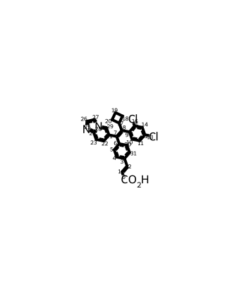 O=C(O)C=Cc1ccc(C(=C(c2ccc(Cl)cc2Cl)C2CCC2)c2ccc3nccn3c2)cc1